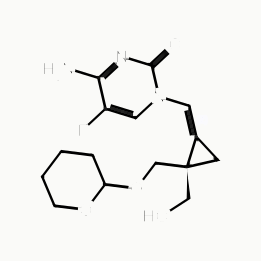 Nc1nc(=O)n(/C=C2/C[C@]2(CO)COC2CCCCO2)cc1F